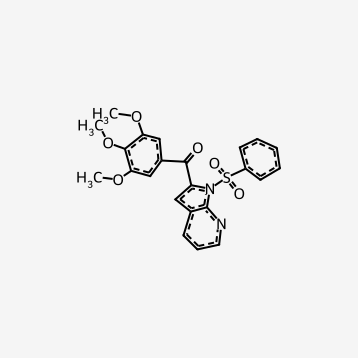 COc1cc(C(=O)c2cc3cccnc3n2S(=O)(=O)c2ccccc2)cc(OC)c1OC